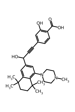 CN1CCN(c2cc(C(O)C#Cc3ccc(C(=O)O)c(O)c3)cc3c2C(C)(C)CCC3(C)C)CC1